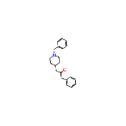 O=C(Cc1ccccc1)CC1CCN(Cc2ccccc2)CC1